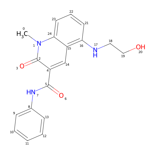 Cn1c(=O)c(C(=O)Nc2ccccc2)cc2c(NCCO)cccc21